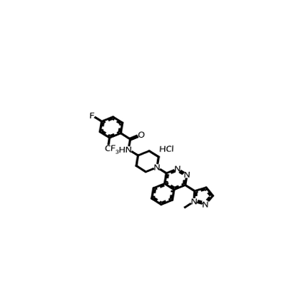 Cl.Cn1nccc1-c1nnc(N2CCC(NC(=O)c3ccc(F)cc3C(F)(F)F)CC2)c2ccccc12